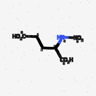 O=C(O)CCC(N[N+](=O)[O-])C(=O)O